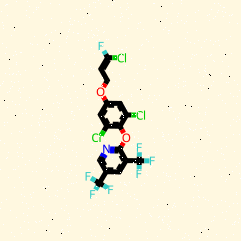 FC(Cl)=CCOc1cc(Cl)c(Oc2ncc(C(F)(F)F)cc2C(F)(F)F)c(Cl)c1